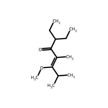 CCC(CC)C(=O)/C(C)=C(\OC)C(C)C